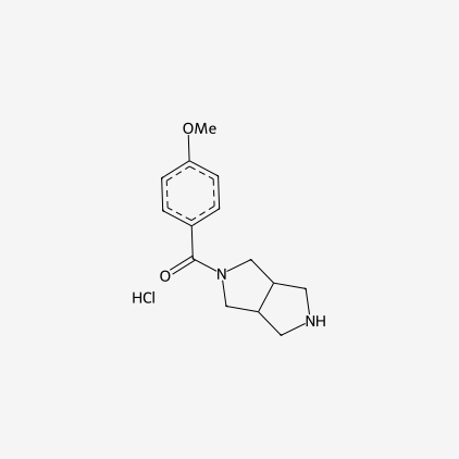 COc1ccc(C(=O)N2CC3CNCC3C2)cc1.Cl